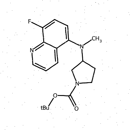 CN(c1ccc(F)c2ncccc12)C1CCN(C(=O)OC(C)(C)C)C1